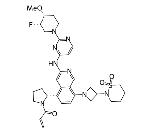 C=CC(=O)N1CCC[C@@H]1c1ccc(N2CC(N3CCCCS3(=O)=O)C2)c2cnc(Nc3ccnc(N4CC[C@@H](OC)[C@@H](F)C4)n3)cc12